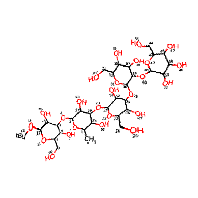 CC1OC(OC2C(O)C(CO)OC(OC(C)(C)C)C2O)C(O)C(OC2OC(CO)C(O)C(OC3OC(CO)C(O)C(O)C3OC3OC(CO)C(O)C(O)C3O)C2O)C1O